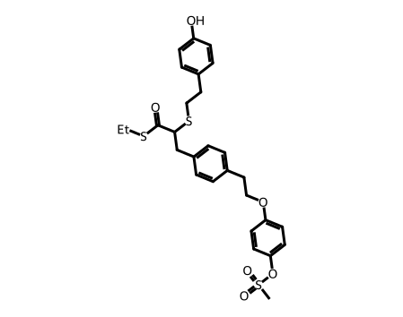 CCSC(=O)C(Cc1ccc(CCOc2ccc(OS(C)(=O)=O)cc2)cc1)SCCc1ccc(O)cc1